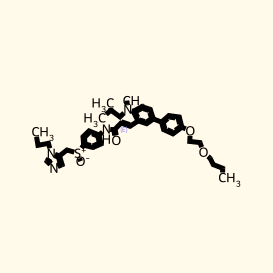 CCCCOCCOc1ccc(-c2ccc(N(C)CC(C)C)c(/C=C/C(=O)Nc3ccc([S+]([O-])Cc4cncn4CCC)cc3)c2)cc1